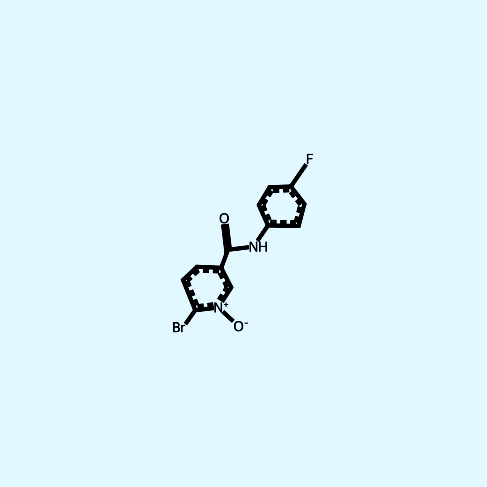 O=C(Nc1ccc(F)cc1)c1ccc(Br)[n+]([O-])c1